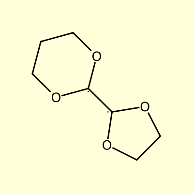 C1CO[C]([C]2OCCO2)OC1